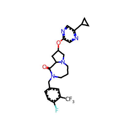 O=C1C2CC(Oc3cnc(C4CC4)cn3)CN2CCCN1Cc1ccc(F)c(C(F)(F)F)c1